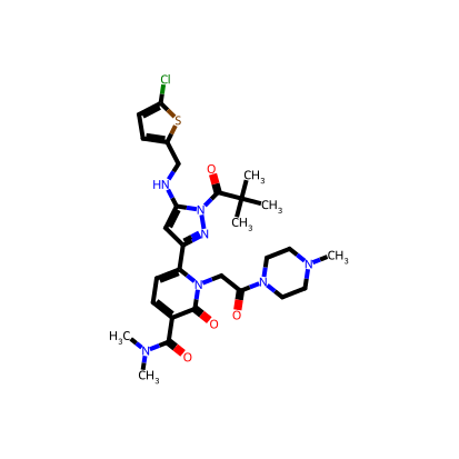 CN1CCN(C(=O)Cn2c(-c3cc(NCc4ccc(Cl)s4)n(C(=O)C(C)(C)C)n3)ccc(C(=O)N(C)C)c2=O)CC1